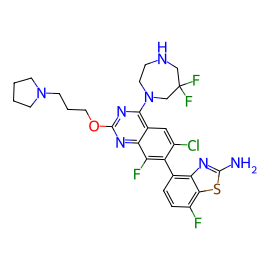 Nc1nc2c(-c3c(Cl)cc4c(N5CCNCC(F)(F)C5)nc(OCCCN5CCCC5)nc4c3F)ccc(F)c2s1